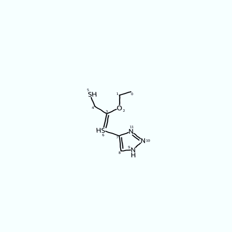 CCOC(CS)=[SH]c1c[nH]nn1